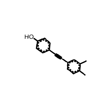 Cc1ccc(C#Cc2ccc(O)cc2)cc1C